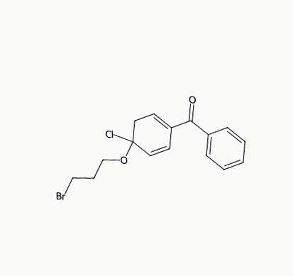 O=C(C1=CCC(Cl)(OCCCBr)C=C1)c1ccccc1